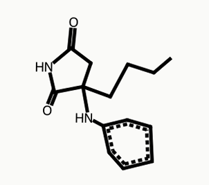 CCCCC1(Nc2ccccc2)CC(=O)NC1=O